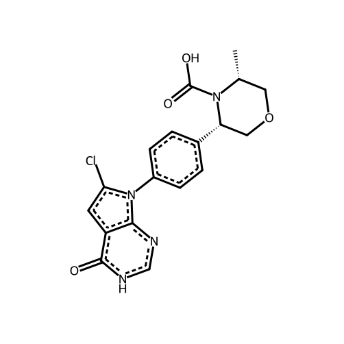 C[C@@H]1COC[C@H](c2ccc(-n3c(Cl)cc4c(=O)[nH]cnc43)cc2)N1C(=O)O